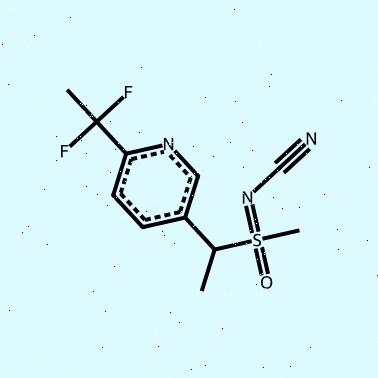 CC(c1ccc(C(C)(F)F)nc1)S(C)(=O)=NC#N